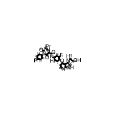 CC(C)n1nc(C(=O)Nc2ccc(Oc3ccnc4[nH]nc(N[C@H](C)CO)c34)c(F)c2)c(=O)n(-c2ccc(F)cc2)c1=O